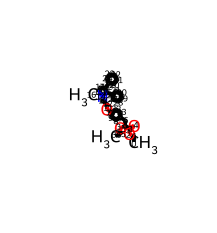 CCOC(=O)C(Cc1ccc(OCCn2c(C)cc(-c3ccccc3)c2-c2ccccc2)cc1)OCC